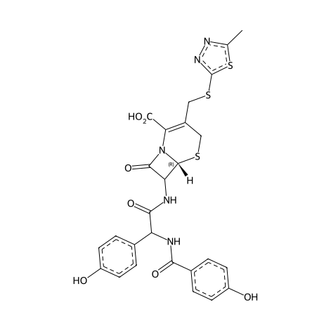 Cc1nnc(SCC2=C(C(=O)O)N3C(=O)C(NC(=O)C(NC(=O)c4ccc(O)cc4)c4ccc(O)cc4)[C@H]3SC2)s1